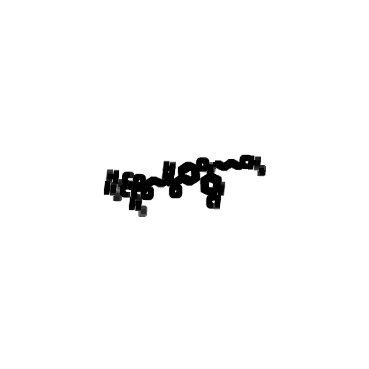 CCCCC[C@@H](Oc1ccc(C(=O)NCCC(=O)OC(C)(C)C)cc1)c1ccc(Cl)nc1